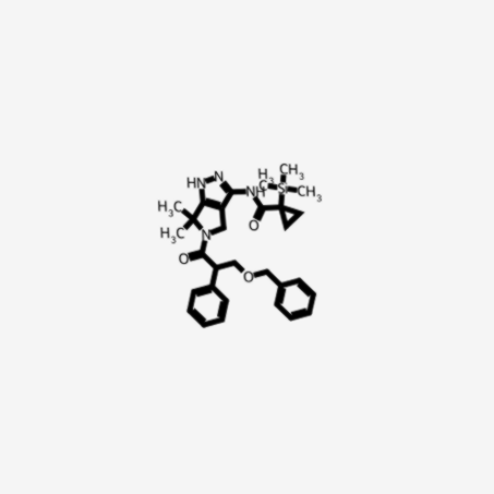 CC1(C)c2[nH]nc(NC(=O)C3([Si](C)(C)C)CC3)c2CN1C(=O)C(COCc1ccccc1)c1ccccc1